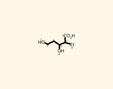 CCC(C(=O)O)C(O)CCO